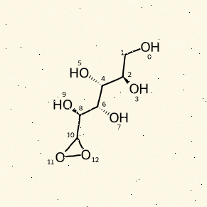 OC[C@@H](O)[C@@H](O)[C@H](O)[C@H](O)C1OO1